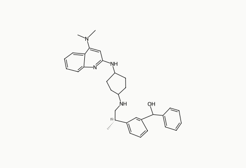 C[C@H](CNC1CCC(Nc2cc(N(C)C)c3ccccc3n2)CC1)c1cccc(C(O)c2ccccc2)c1